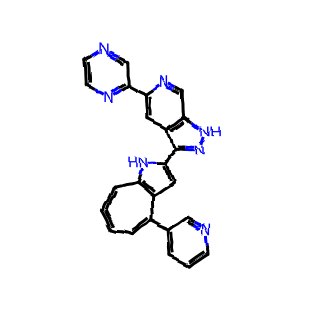 C1=CC=C(c2cccnc2)c2cc(-c3n[nH]c4cnc(-c5cnccn5)cc34)[nH]c2C=1